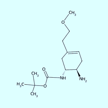 COCCC1=CC[C@@H](N)[C@H](NC(=O)OC(C)(C)C)C1